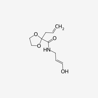 C=CCC1(C(=O)NC/C=C/O)OCCO1